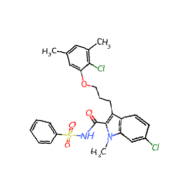 Cc1cc(C)c(Cl)c(OCCCc2c(C(=O)NS(=O)(=O)c3ccccc3)n(C)c3cc(Cl)ccc23)c1